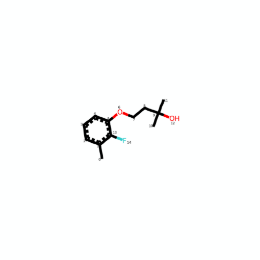 Cc1[c]ccc(OCCC(C)(C)O)c1F